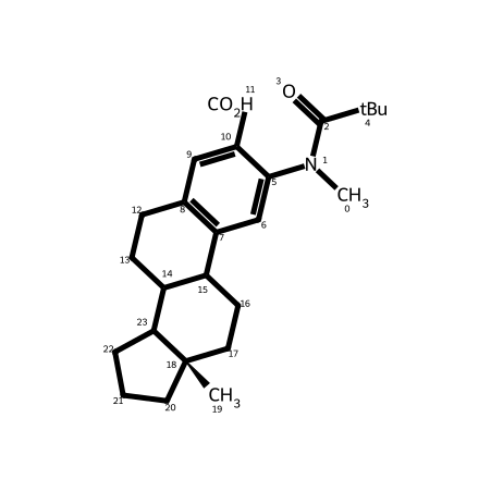 CN(C(=O)C(C)(C)C)c1cc2c(cc1C(=O)O)CCC1C2CC[C@]2(C)CCCC12